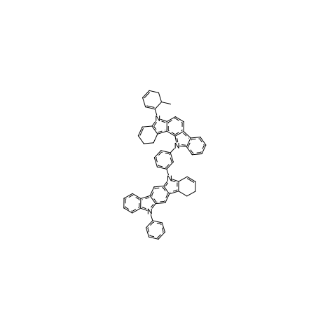 CC1CC=CC=C1n1c2c(c3c1ccc1c4ccccc4n(-c4cccc(-n5c6c(c7cc8c(cc75)c5ccccc5n8-c5ccccc5)CCC=C6)c4)c13)CCC=C2